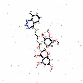 COc1cc(OC)c2c(=O)c(OCCCCSc3ncnc4c(C)cccc34)c(-c3cc(OC)c(OC)c(OC)c3)oc2c1